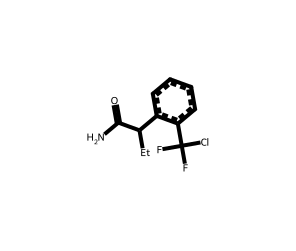 CCC(C(N)=O)c1ccccc1C(F)(F)Cl